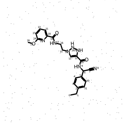 CCc1ccc(C(C#N)NC(=O)C2=CN(CCNC(=O)c3cccc(OC)n3)NN2)cc1